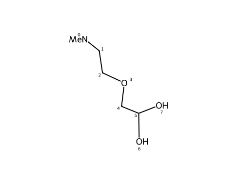 CNCCOCC(O)O